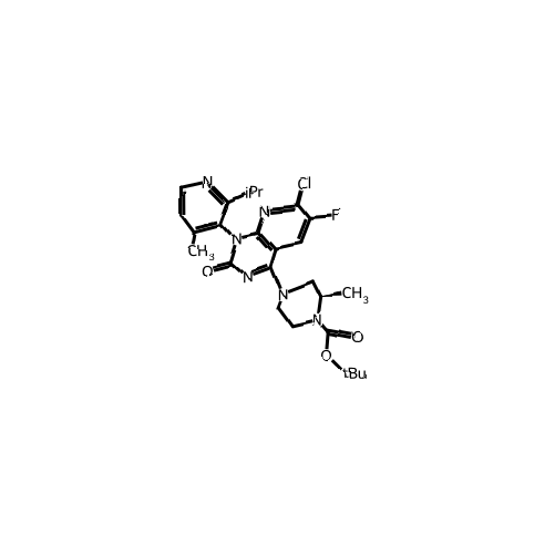 Cc1ccnc(C(C)C)c1-n1c(=O)nc(N2CCN(C(=O)OC(C)(C)C)[C@H](C)C2)c2cc(F)c(Cl)nc21